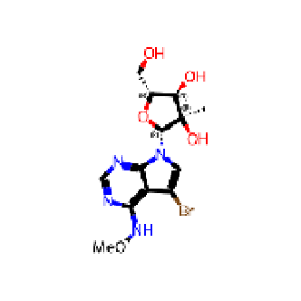 CONc1ncnc2c1c(Br)cn2[C@@H]1O[C@H](CO)[C@@H](O)[C@@]1(C)O